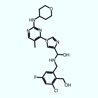 Cc1cnc(NC2CCOCC2)nc1-n1cnc(C(O)NCc2cc(F)cc(Cl)c2CO)c1